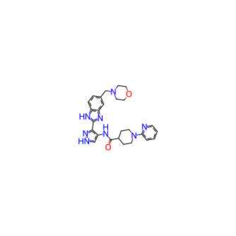 O=C(Nc1c[nH]nc1-c1nc2cc(CN3CCOCC3)ccc2[nH]1)C1CCN(c2ccccn2)CC1